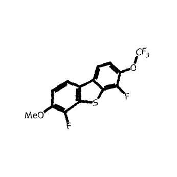 COc1ccc2c(sc3c(F)c(OC(F)(F)F)ccc32)c1F